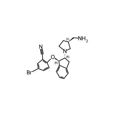 N#Cc1cc(Br)ccc1O[C@@H]1c2ccccc2C[C@H]1N1CC[C@@H](CN)C1